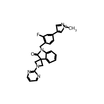 Cn1cc(-c2ccc(CN3C(=O)C4(CN(c5ncccn5)C4)c4ccccc43)c(F)c2)cn1